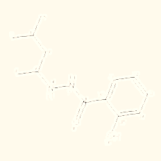 CC(C)CC(C)NNC(=O)c1ccccc1O